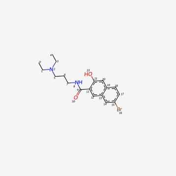 CCN(CC)CCCNC(=O)c1cc2cc(Br)ccc2cc1O